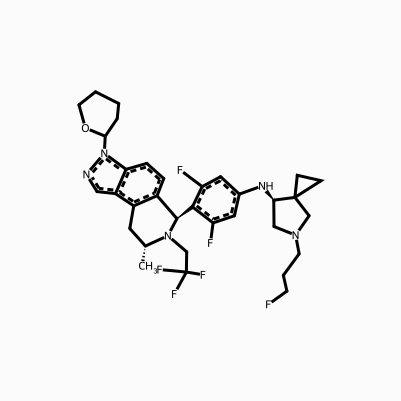 C[C@@H]1Cc2c(ccc3c2cnn3C2CCCCO2)[C@@H](c2c(F)cc(N[C@@H]3CN(CCCF)CC34CC4)cc2F)N1CC(F)(F)F